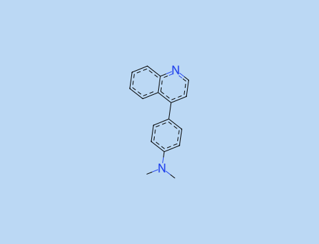 CN(C)c1ccc(-c2ccnc3ccccc23)cc1